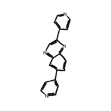 c1cc(-c2ccc3nc(-c4ccncc4)cnc3c2)ccn1